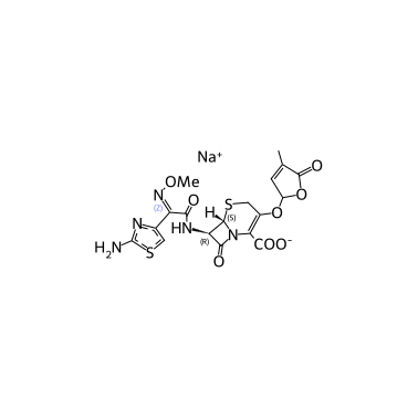 CO/N=C(\C(=O)N[C@@H]1C(=O)N2C(C(=O)[O-])=C(OC3C=C(C)C(=O)O3)CS[C@@H]12)c1csc(N)n1.[Na+]